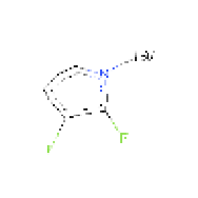 CC(C)(C)n1ccc(F)c1F